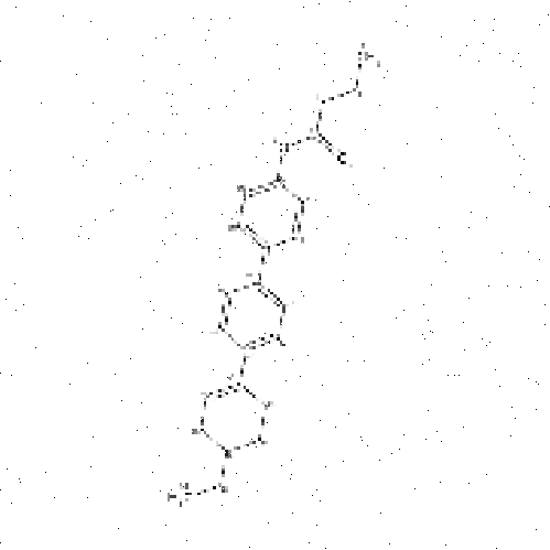 CCCC(=O)Oc1ccc(-c2ccc(C3=CCC(CC)CC3)cc2)cc1